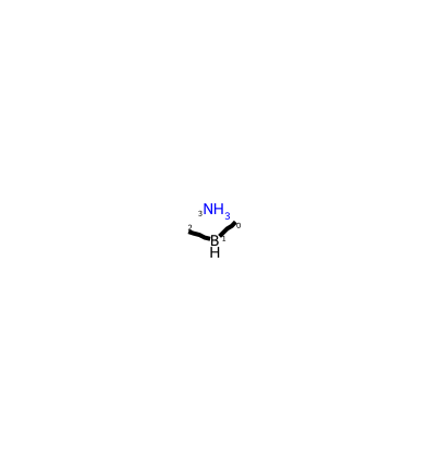 CBC.N